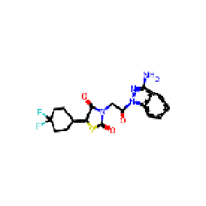 Nc1nn(C(=O)CN2C(=O)SC(=C3CCC(F)(F)CC3)C2=O)c2ccccc12